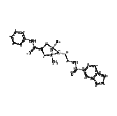 CC12CN(C(=O)Nc3ccccc3)C[C@H]1[C@@H]2CCNC(=O)c1ccc2nccn2c1